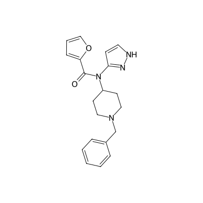 O=C(c1ccco1)N(c1cc[nH]n1)C1CCN(Cc2ccccc2)CC1